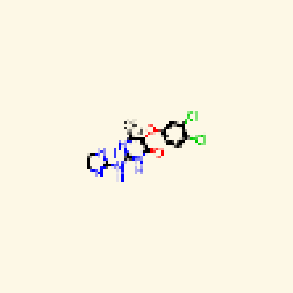 O=c1[nH]c(NC2=NCCN2)nc(C(F)(F)F)c1Oc1ccc(Cl)c(Cl)c1